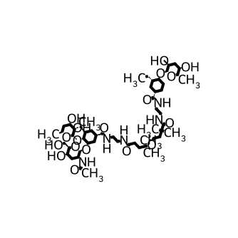 CC[C@H]1C[C@@H](C(=O)NCCNC(=O)CCC(C)(C)OCCC(C)(C)C(=O)NCCNC(=O)[C@H]2CC[C@H](O[C@@H]3O[C@@H](C)[C@@H](O)C[C@@H]3O)[C@@H](CC)C2)C[C@@H](O[C@@H]2O[C@H](CO)[C@H](O)C[C@H]2NC(C)=O)[C@@H]1O[C@@H]1O[C@@H](C)C[C@@H](O)[C@@H]1O